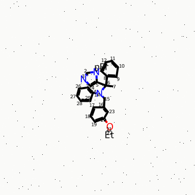 CCCn1cncc1C(C)(c1ccccc1)N(Cc1cccc(OCC)c1)c1ccccc1